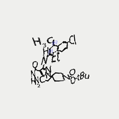 C/C=C(\C=C(/CC)Nc1nn(C2(CC#N)CCN(C(=O)OC(C)(C)C)CC2)cc1C(N)=O)c1cccc(Cl)c1